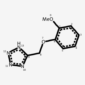 COc1cc[c]cc1OCc1nnn[nH]1